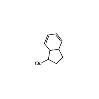 CC(C)(C)C1CCC2C=CC=CC21